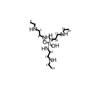 CCNCCN[O][Ti]([OH])([NH]CCNCC)[NH]CCNCC